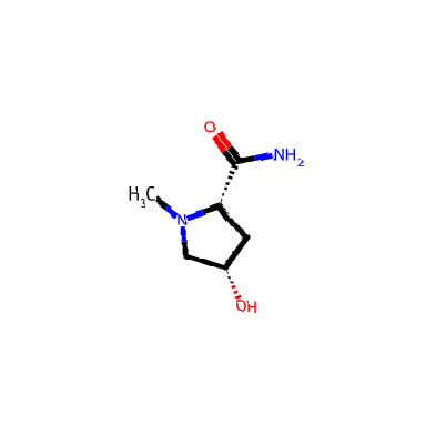 CN1C[C@@H](O)C[C@H]1C(N)=O